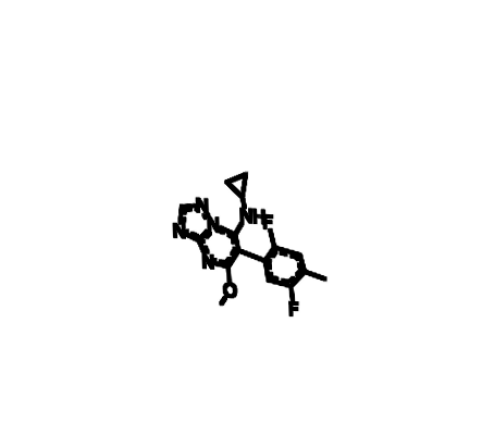 COc1nc2ncnn2c(NC2CC2)c1-c1cc(F)c(C)cc1F